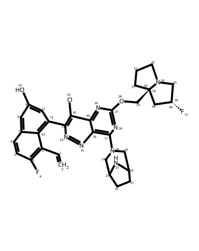 C=Cc1c(F)ccc2cc(O)cc(-c3nnc4c(N5CC6CCC(C5)N6)nc(OC[C@@]56CCCN5C[C@H](F)C6)nc4c3Cl)c12